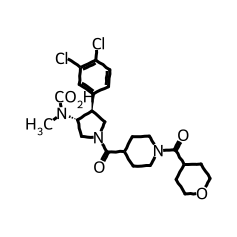 CN(C(=O)O)[C@H]1CN(C(=O)C2CCN(C(=O)C3CCOCC3)CC2)C[C@@H]1c1ccc(Cl)c(Cl)c1